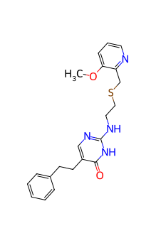 COc1cccnc1CSCCNc1ncc(CCc2ccccc2)c(=O)[nH]1